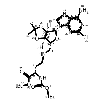 CC(C)(C)OC(=O)N[C@@H](CCNC[C@H]1O[C@@H](n2cnc3c(N)nc(Cl)nc32)[C@@H]2OC(C)(C)O[C@@H]21)C(=O)OC(C)(C)C